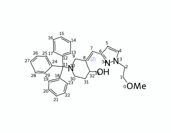 COCCn1ccc(/C=C2/CN(C(c3ccccc3)(c3ccccc3)c3ccccc3)CCC2O)n1